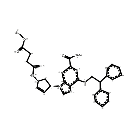 COC(=O)c1nc(NCC(c2ccccc2)c2ccccc2)c2ncn([C@H]3C=C[C@@H](NC(=O)CCC(=O)OC(C)(C)C)C3)c2n1